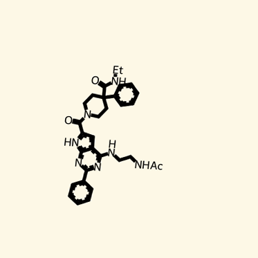 CCNC(=O)C1(c2ccccc2)CCN(C(=O)c2cc3c(NCCNC(C)=O)nc(-c4ccccc4)nc3[nH]2)CC1